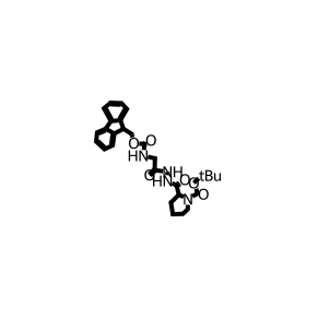 CC(C)(C)OC(=O)N1CCCCC1C(=O)NNC(=O)CNC(=O)OCC1c2ccccc2-c2ccccc21